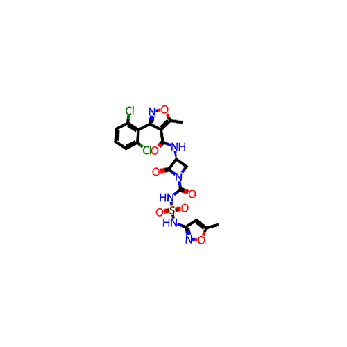 Cc1cc(NS(=O)(=O)NC(=O)N2C[C@H](NC(=O)c3c(-c4c(Cl)cccc4Cl)noc3C)C2=O)no1